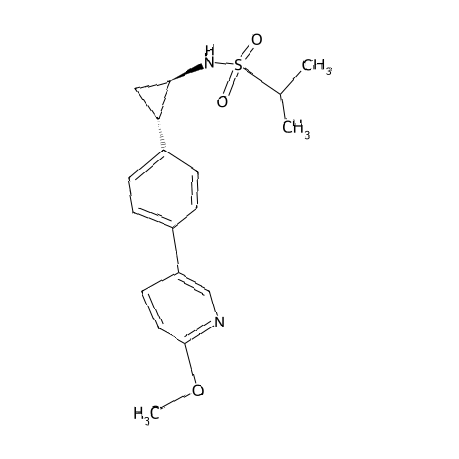 COc1ccc(-c2ccc([C@@H]3C[C@H]3NS(=O)(=O)C(C)C)cc2)cn1